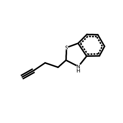 C#CCCC1Nc2ccccc2S1